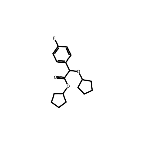 O=C(OC1CCCC1)C(OC1CCCC1)c1ccc(F)cc1